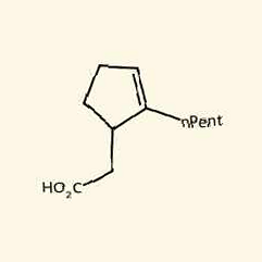 CCCCCC1=CCCC1CC(=O)O